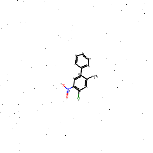 Cc1cc(Cl)c([N+](=O)[O-])cc1-c1ccccc1